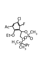 CCOc1c(C(C)=O)cc(Cl)c(F)c1C(CO[Si](C)(C)C(C)C)OS(C)(=O)=O